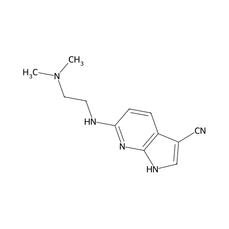 CN(C)CCNc1ccc2c(C#N)c[nH]c2n1